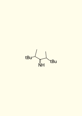 CC(C(=N)C(C)C(C)(C)C)C(C)(C)C